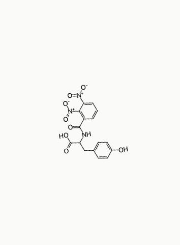 O=C(NC(Cc1ccc(O)cc1)C(=O)O)c1cccc([N+](=O)[O-])c1[N+](=O)[O-]